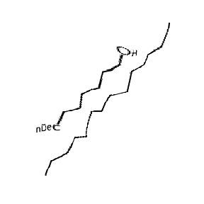 CCCCCCCCCCCCCC.CCCCCCCCCCCCCCCCO